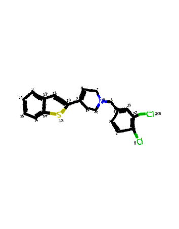 Clc1ccc(CN2CC=C(c3cc4ccccc4s3)CC2)cc1Cl